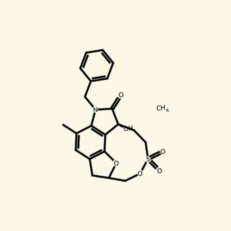 C.Cc1cc2c3c4c1N(Cc1ccccc1)C(=O)C4(O)CCS(=O)(=O)OCC(C2)O3